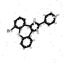 Brc1cccc2c1Sc1ccccc1-c1sc(-c3ccncc3)nc1-2